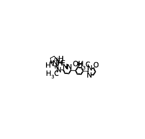 CN(c1ccc(-c2ccc(-c3nccc(=O)n3C)cc2O)nn1)[C@@H]1C[C@H]2CC[C@H](N2)[C@H]1F